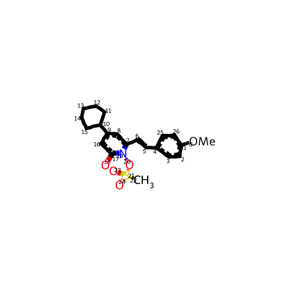 COc1ccc(C=Cc2cc(C3CCCCC3)cc(=O)n2OS(C)(=O)=O)cc1